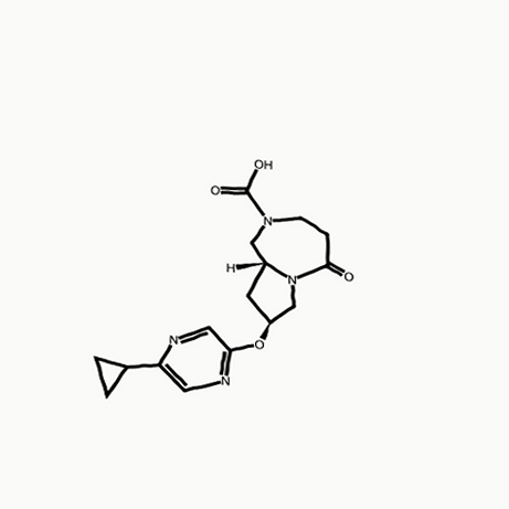 O=C(O)N1CCC(=O)N2C[C@@H](Oc3cnc(C4CC4)cn3)C[C@@H]2C1